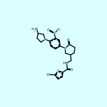 NC1CCN(c2ccc(N3CC(CNC(=O)c4ccc(Cl)s4)CCC3=O)cc2[N+](=O)[O-])C1